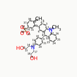 C[n+]1c2ccccc2c(-c2ccc(N(CCO)CCO)cc2)c2ccccc21.Cc1ccc(S(=O)(=O)[O-])cc1